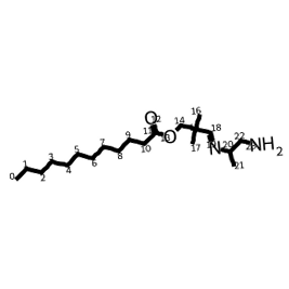 CCCCCCCCCCCC(=O)OCC(C)(C)C=NC(C)CN